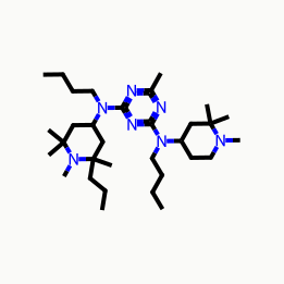 CCCCN(c1nc(C)nc(N(CCCC)C2CC(C)(C)N(C)C(C)(CCC)C2)n1)C1CCN(C)C(C)(C)C1